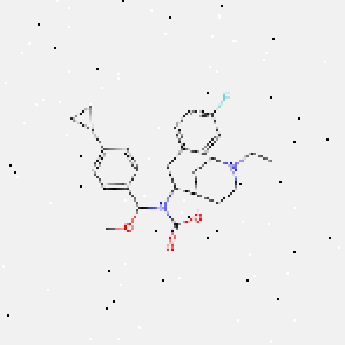 CCN1CCC2(CC1)OC(=O)N(C(OC)c1ccc(C3CC3)cc1)C2Cc1ccc(F)cc1